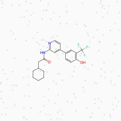 O=C(CC1CCCCC1)Nc1cc(-c2ccc(O)c(C(F)(F)F)c2)ccn1